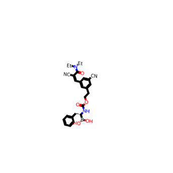 CCN(CC)C(=O)C(C#N)=Cc1cc(C#N)cc(CCOC(=O)N[C@@H](Cc2ccccc2)B(O)O)c1